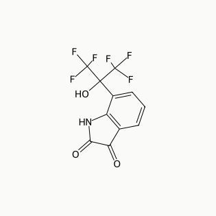 O=C1Nc2c(cccc2C(O)(C(F)(F)F)C(F)(F)F)C1=O